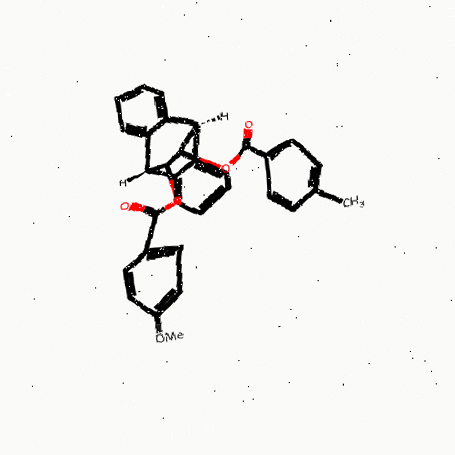 COc1ccc(C(=O)OC2C(OC(=O)c3ccc(C)cc3)[C@H]3c4ccccc4[C@H]2c2ccccc23)cc1